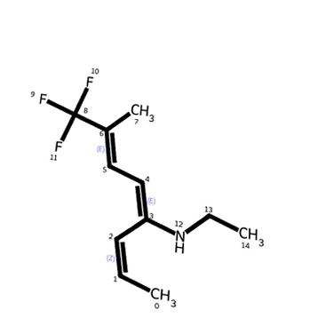 C\C=C/C(=C\C=C(/C)C(F)(F)F)NCC